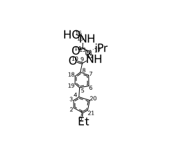 CCc1ccc(-c2ccc(C(=O)N[C@H](C(=O)NO)C(C)C)cc2)cc1